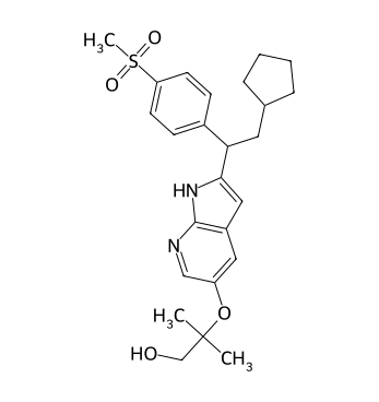 CC(C)(CO)Oc1cnc2[nH]c(C(CC3CCCC3)c3ccc(S(C)(=O)=O)cc3)cc2c1